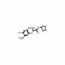 CC(Sc1cc(N)c(F)cc1Cl)C(=O)OC1CCCC1